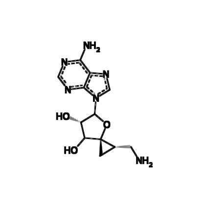 NC[C@@H]1C[C@@]12OC(n1cnc3c(N)ncnc31)[C@@H](O)C2O